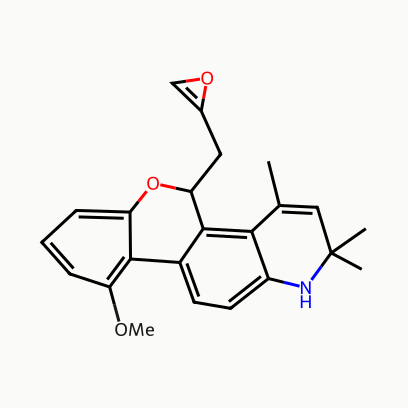 COc1cccc2c1-c1ccc3c(c1C(CC1=CO1)O2)C(C)=CC(C)(C)N3